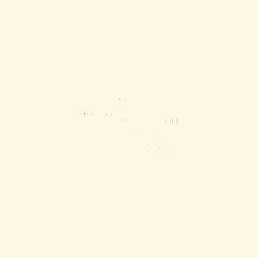 OCCOc1ccccc1OCCOCCOc1ccccc1OCCO